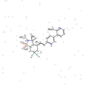 COc1ncccc1-c1ccc(C=C[C@@H]2[C@H]3[C@@H](CC(F)(F)[C@H]2C)S(=O)(=O)N(C(=O)O)[C@@]3(C)C(C)(C)C)nc1